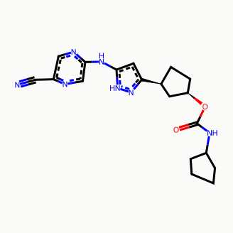 N#Cc1cnc(Nc2cc([C@H]3CC[C@@H](OC(=O)NC4CCCC4)C3)n[nH]2)cn1